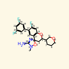 CN1OC2(CC(C3CCCOC3)Oc3cc(F)c(-c4cc(F)cc(F)c4)cc32)N=C1N